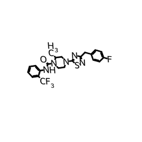 CC1CN(c2nc(Cc3ccc(F)cc3)ns2)CCN1C(=O)Nc1ccccc1C(F)(F)F